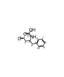 O=CCC(Cc1ccccc1)NC(=O)O